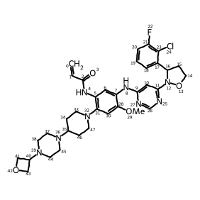 C=CC(=O)Nc1cc(Nc2cc(N3OCCC3c3cccc(F)c3Cl)ncn2)c(OC)cc1N1CCC(N2CCN(C3COC3)CC2)CC1